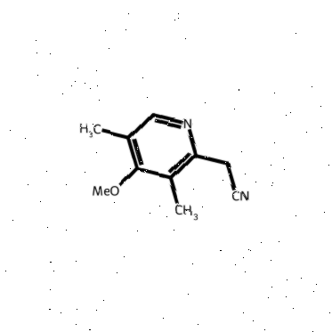 COc1c(C)cnc(CC#N)c1C